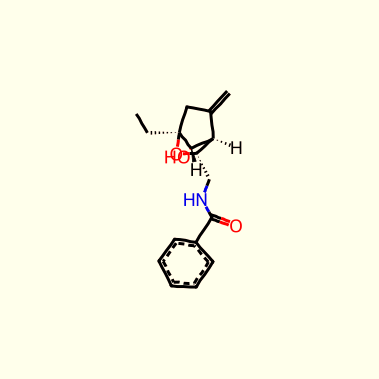 C=C1C[C@]2(CC)O[C@@H](CNC(=O)c3ccccc3)[C@H]1[C@@H]2O